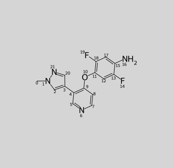 Cn1cc(-c2cnccc2Oc2cc(F)c(N)cc2F)cn1